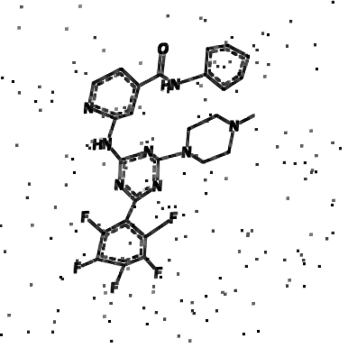 CN1CCN(c2nc(Nc3cc(C(=O)Nc4ccccc4)ccn3)nc(-c3c(F)c(F)c(F)c(F)c3F)n2)CC1